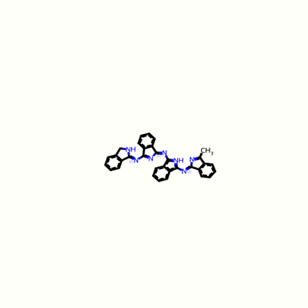 CC1=N/C(=N\c2[nH]c(/N=C3N=C(/N=C4\NCc5ccccc54)c4ccccc4\3)c3ccccc23)c2ccccc21